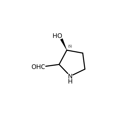 O=CC1NCC[C@@H]1O